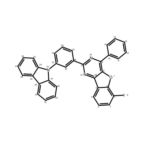 Ic1cccc2c1oc1c(-c3ccccc3)nc(-c3cccc(-n4c5ccccc5c5ccccc54)c3)nc12